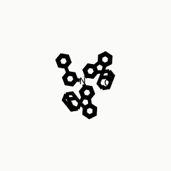 c1ccc(-c2cccc(N(c3ccc4c(c3)C3(c5ccccc5-4)C4CCC5CC(C4)CC3C5)c3ccc4c(c3)C3(c5ccccc5-4)C4CC5CC(C4)CC3C5)c2)cc1